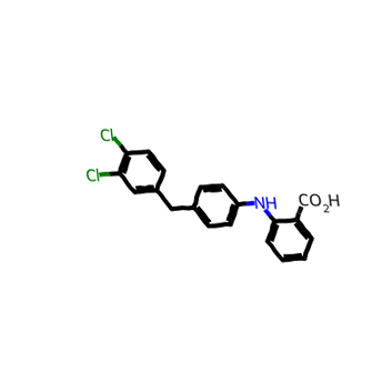 O=C(O)c1ccccc1Nc1ccc(Cc2ccc(Cl)c(Cl)c2)cc1